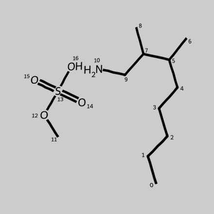 CCCCCC(C)C(C)CN.COS(=O)(=O)O